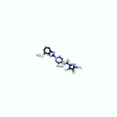 CO[C@@H]1CN(c2nc3cccc(C(=O)O)c3s2)CC[C@@H]1NC(=O)c1[nH]c(C)c(Cl)c1Cl